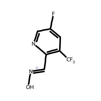 O/N=C/c1ncc(F)cc1C(F)(F)F